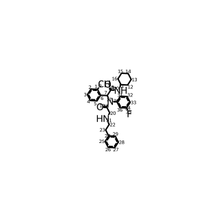 Cc1ccccc1C(C(=O)NC1CCCCC1)N(C(=O)CNCCc1ccccc1)c1cccc(F)c1